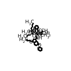 C=CCC[C@@H](C(=O)N[C@@H](Cc1ccccc1)[C@@H](CNC1CC(OCC=C)c2ccc(Oc3ccccc3)cc21)O[Si](C)(C)C(C)(C)C)N(C)C(=O)CCCCC